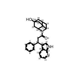 O=C(CC(c1ccccc1)c1c[nH]c2ncccc12)N1C2CC3CC1CC(O)(C3)C2